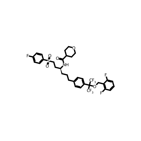 O=C(N[C@@H](CCCc1ccc(C(OCc2c(F)cccc2F)(C(F)(F)F)C(F)(F)F)cc1)CCS(=O)(=O)c1ccc(F)cc1)C1CCOCC1